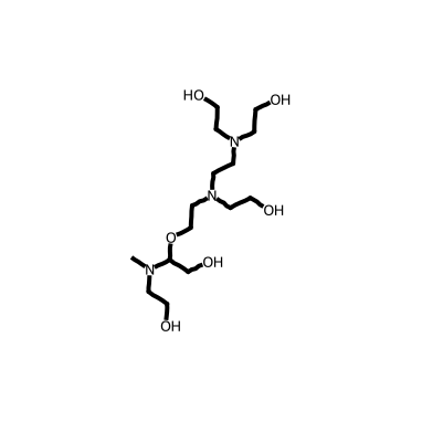 CN(CCO)C(CO)OCCN(CCO)CCN(CCO)CCO